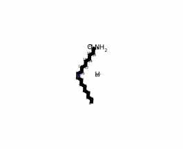 CCCCCCCC/C=C\CCCCCCCC(N)=O.[H]